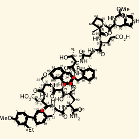 CCc1cc(OC)ccc1-c1ccc(C[C@H](NC(=O)[C@H](CC(=O)O)NC(=O)[C@H](CO)NC(=O)[C@@H](NC(=O)[C@](C)(Cc2ccccc2F)NC(=O)[C@@H](NC(=O)CNC(=O)[C@H](CCC(=O)O)NC(=O)[C@]2(C)CCCN2C(=O)[C@H](Cc2c[nH]cn2)NC(=O)OC)[C@@H](C)O)[C@@H](C)O)C(=O)N[C@@H](CCOc2ccc3ccccc3c2)C(N)=O)cc1